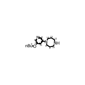 CCCCOc1cncc(N2CCCNCCC2)c1